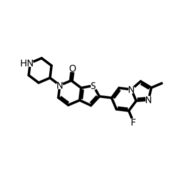 Cc1cn2cc(-c3cc4ccn(C5CCNCC5)c(=O)c4s3)cc(F)c2n1